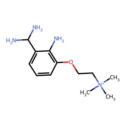 C[N+](C)(C)CCOc1cccc(C(N)N)c1N